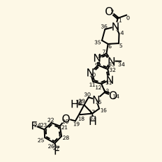 CC(=O)N1CCC(c2nc3ncc(C(=O)N4C[C@@H]5C(COc6cc(F)cc(F)c6)[C@@H]5C4)nc3n2C)CC1